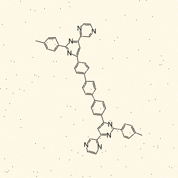 Cc1ccc(-c2nc(-c3ccc(-c4ccc(-c5ccc(-c6cc(-c7cnccn7)nc(-c7ccc(C)cc7)n6)cc5)cc4)cc3)cc(-c3cnccn3)n2)cc1